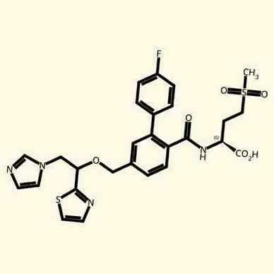 CS(=O)(=O)CC[C@H](NC(=O)c1ccc(COC(Cn2ccnc2)c2nccs2)cc1-c1ccc(F)cc1)C(=O)O